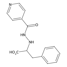 O=C(NNC(Cc1ccccc1)C(=O)O)c1ccncc1